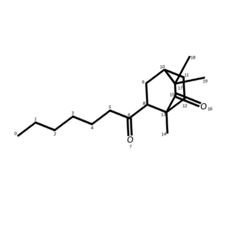 CCCCCCC(=O)C1CC2CCC1(C)C(=O)C2(C)C